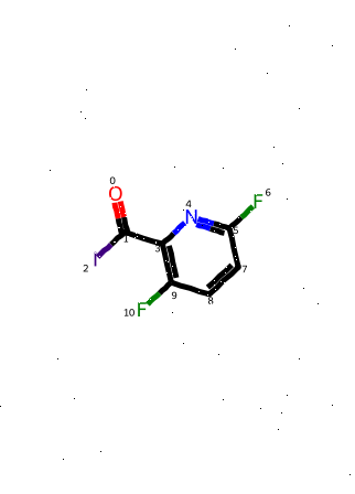 O=C(I)c1nc(F)ccc1F